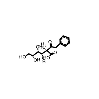 N[C@@](C(=O)O)(C(=O)Cc1ccccc1)[C@@H](O)[C@H](O)[C@H](O)CO